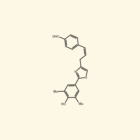 CC(C)(C)c1cc(-c2nc(C/C=C\c3ccc(C=O)cc3)co2)cc(C(C)(C)C)c1O